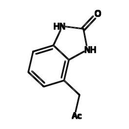 CC(=O)Cc1cccc2[nH]c(=O)[nH]c12